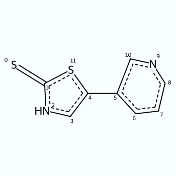 S=c1[nH]cc(-c2cccnc2)s1